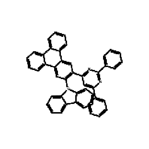 c1ccc(-c2cc(-c3cc4c5ccccc5c5ccccc5c4cc3-n3c4ccccc4c4ccccc43)nc(-c3ccccc3)n2)cc1